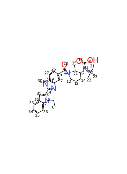 CCn1c(-c2nc3cc(C(=O)N4CCCC(N(C(=O)O)C(C)(C)C)C4C)ccc3n2C)cc2ccccc21